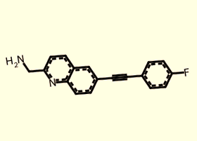 NCc1ccc2cc(C#Cc3ccc(F)cc3)ccc2n1